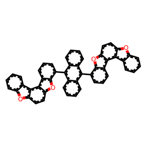 c1ccc2c(c1)oc1ccc3oc4c(-c5c6ccccc6c(-c6cccc7c6oc6ccc8oc9ccccc9c8c67)c6ccccc56)cccc4c3c12